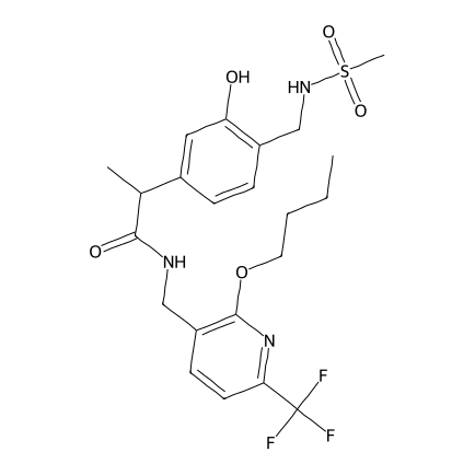 CCCCOc1nc(C(F)(F)F)ccc1CNC(=O)C(C)c1ccc(CNS(C)(=O)=O)c(O)c1